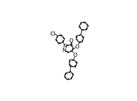 O=c1c(Oc2ccc(-c3ccccc3)cc2)c(Oc2ccc(-c3ccccc3)cc2)cnn1-c1ccc(Cl)cc1